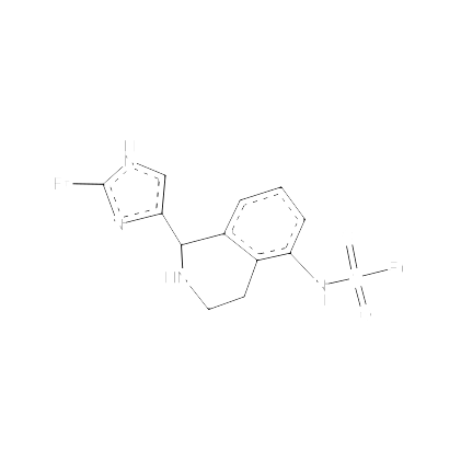 CCc1nc(C2NCCc3c(NS(=O)(=O)CC)cccc32)c[nH]1